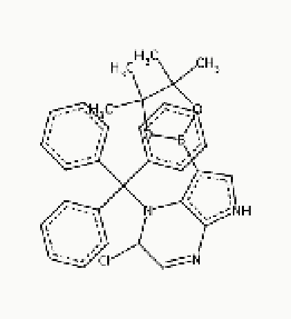 CC1(C)OB(c2c[nH]c3c2N(C(c2ccccc2)(c2ccccc2)c2ccccc2)C(Cl)C=N3)OC1(C)C